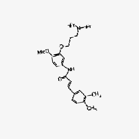 CCCN(CCC)CCCOc1cc(NC(=O)C=Cc2ccc(C)c(C)c2)ccc1OC